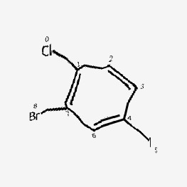 Clc1ccc(I)cc1Br